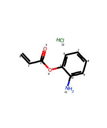 C=CC(=O)Oc1ccccc1N.Cl